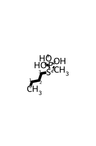 CCCCSP(C)(O)(O)O